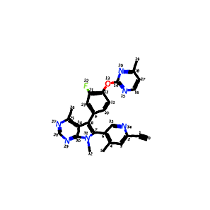 C#Cc1cc(C)c(-c2c(-c3ccc(Oc4nccc(C)n4)c(F)c3)c3c(C)ncnc3n2C)cn1